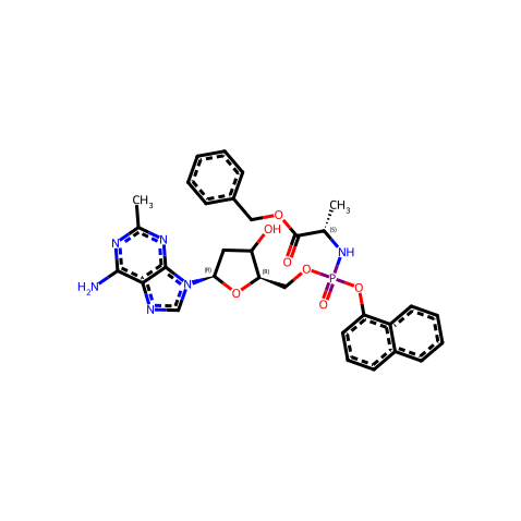 Cc1nc(N)c2ncn([C@H]3CC(O)[C@@H](COP(=O)(N[C@@H](C)C(=O)OCc4ccccc4)Oc4cccc5ccccc45)O3)c2n1